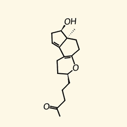 CC(=O)CCC[C@H]1CCC2=C(CC[C@@]3(C)C2=CC[C@H]3O)O1